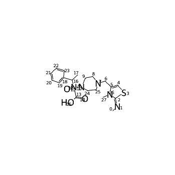 CN=c1scc(CN2CCN([N+]([O-])(C(=O)O)C(C)c3ccccc3)CC2)n1C